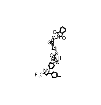 Cc1ccc(-c2cc(C(F)(F)F)nn2-c2ccc(S(=O)(=O)NC(=O)OC3CN(n4on4OCN4C(=O)c5ccccc5C4=O)C3)cc2)cc1